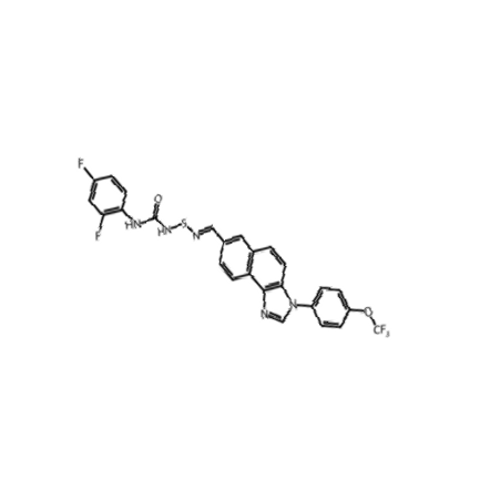 O=C(NS/N=C/c1ccc2c(ccc3c2ncn3-c2ccc(OC(F)(F)F)cc2)c1)Nc1ccc(F)cc1F